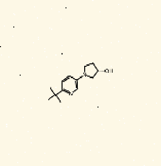 CC(C)(C)c1ccc(N2CCC(O)C2)cn1